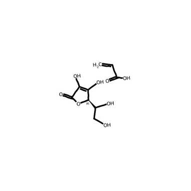 C=CC(=O)O.O=C1O[C@H](C(O)CO)C(O)=C1O